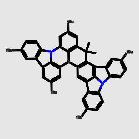 CC(C)(C)c1cc2c3c(c1)C(C)(C)c1c(cc4c5cc(C(C)(C)C)ccc5n5c6ccc(C(C)(C)C)cc6c1c45)B3c1cc(C(C)(C)C)cc3c4cc(C(C)(C)C)ccc4n-2c13